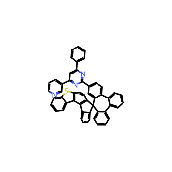 c1ccc(-c2cc(-c3cccnc3)nc(-c3ccc4c(c3)C3(c5ccccc5-c5ccccc5-4)c4ccccc4-c4c3ccc3sc5ccccc5c43)n2)cc1